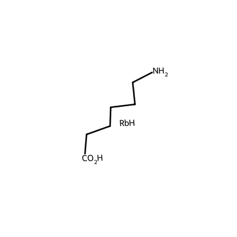 NCCCCCC(=O)O.[RbH]